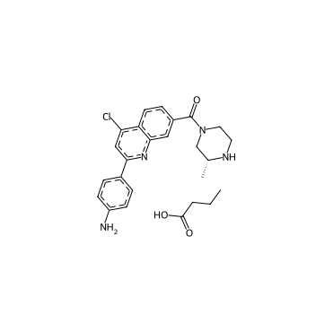 CCCC(=O)O.C[C@@H]1CN(C(=O)c2ccc3c(Cl)cc(-c4ccc(N)cc4)nc3c2)CCN1